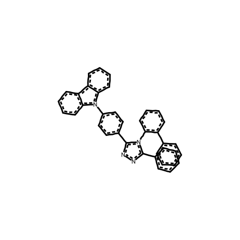 c1ccc(-c2ccccc2-n2c(-c3ccccc3)nnc2-c2ccc(-n3c4ccccc4c4ccccc43)cc2)cc1